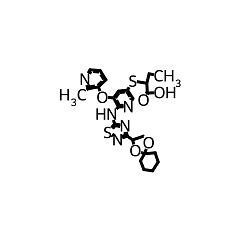 CCC(Sc1cnc(Nc2nc(C3COC4(CCCCC4)O3)ns2)c(Oc2cccnc2C)c1)C(=O)O